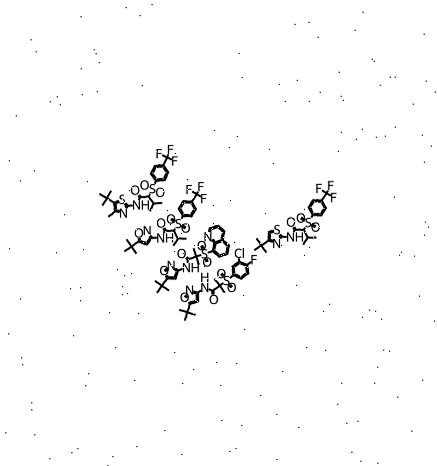 CC(C)(C)c1cc(NC(=O)C(C)(C)S(=O)(=O)c2ccc(F)c(Cl)c2)no1.CC(C)(C)c1cc(NC(=O)C(C)(C)S(=O)(=O)c2cccc3cccnc23)no1.CC(C)C(C(=O)Nc1cc(C(C)(C)C)on1)S(=O)(=O)c1ccc(C(F)(F)F)cc1.CC(C)C(C(=O)Nc1nc(C(C)(C)C)cs1)S(=O)(=O)c1ccc(C(F)(F)F)cc1.Cc1nc(NC(=O)C(C(C)C)S(=O)(=O)c2ccc(C(F)(F)F)cc2)sc1C(C)(C)C